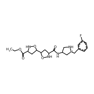 CCOC(=O)C1CC(C2CC(C(=O)NC3CNN(Cc4cccc(F)c4)C3)NO2)ON1